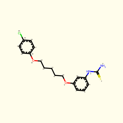 NC(=S)Nc1cccc(OCCCCCOc2ccc(Cl)cc2)c1